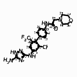 Nc1nc(Nc2cc(Cl)c(-c3ccc(NC(=O)CN4CCOCC4)cc3)c(C(F)(F)F)c2)n[nH]1